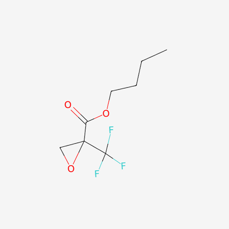 CCCCOC(=O)C1(C(F)(F)F)CO1